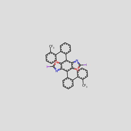 FC(F)(F)c1ccccc1-c1ccccc1-c1c2nc(I)oc2c(-c2ccccc2-c2ccccc2C(F)(F)F)c2nc(I)oc12